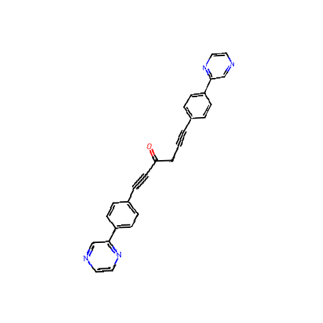 O=C(C#Cc1ccc(-c2cnccn2)cc1)CC#Cc1ccc(-c2cnccn2)cc1